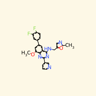 COc1cc(-c2ccc(F)c(F)c2)cc2c(NCc3cnc(C)o3)nc(-c3cccnc3)nc12